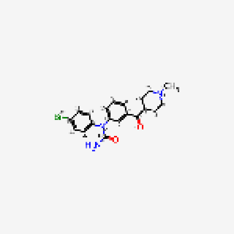 CN1CCC(C(=O)c2cccc(N(C(N)=O)c3ccc(Br)cc3)c2)CC1